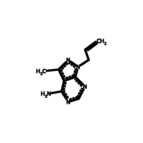 C=CCn1nc(C)c2c(N)ncnc21